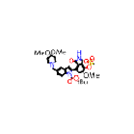 COc1cc(-c2cc3cc(CN4CCC(OC)(OC)CC4)ccc3n2C(=O)OC(C)(C)C)c2c(c1OS(C)(=O)=O)CNC2=O